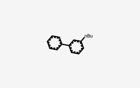 CCCCc1cccc(-c2ccccc2)c1